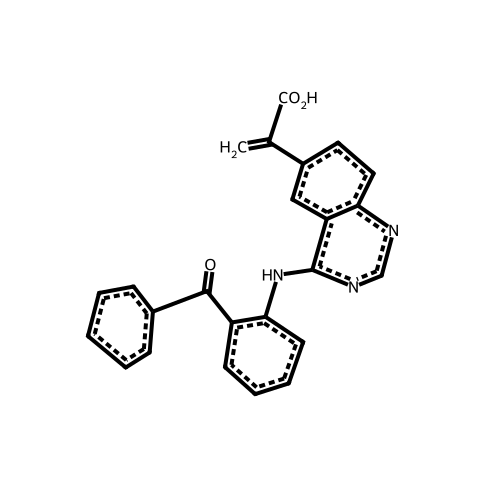 C=C(C(=O)O)c1ccc2ncnc(Nc3ccccc3C(=O)c3ccccc3)c2c1